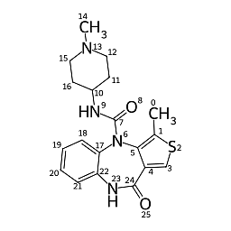 Cc1scc2c1N(C(=O)NC1CCN(C)CC1)c1ccccc1NC2=O